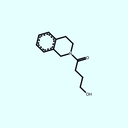 O=C(C[CH]CO)N1CCc2ccccc2C1